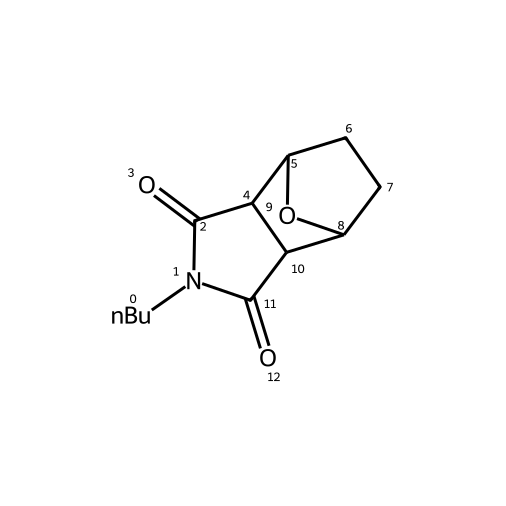 CCCCN1C(=O)C2C3CCC(O3)C2C1=O